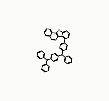 c1ccc(N(c2ccccc2)c2ccc(N(c3ccccc3)c3ccc(-c4cccc5oc6c7ccccc7ccc6c45)cc3)cc2)cc1